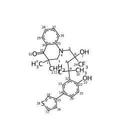 CC1(C)CN(CC(O)(CC(C)(C)c2cc(-c3ccsc3)ccc2O)C(F)(F)F)c2ccccc2C1=O